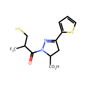 O=C(O)C1CC(c2cccs2)=NN1C(=O)C(CS)C(F)(F)F